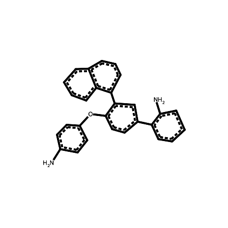 Nc1ccc(Oc2ccc(-c3ccccc3N)cc2-c2cccc3ccccc23)cc1